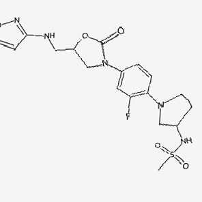 CS(=O)(=O)NC1CCN(c2ccc(N3CC(CNc4ccon4)OC3=O)cc2F)C1